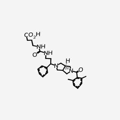 Cc1cccc(C)c1C(=O)N1CC2CN(C(CCNC(=O)NCCCC(=O)O)c3ccccc3)C[C@H]2C1